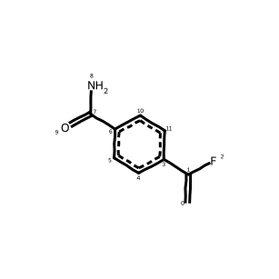 C=C(F)c1ccc(C(N)=O)cc1